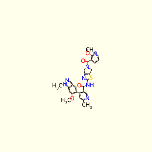 COc1cc2c(cnn2C)cc1-c1cc(C)ncc1C(=O)Nc1nc2c(s1)CN(C(=O)c1cccnc1OC)C2